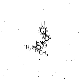 Cc1cc(NC(=O)c2cccc(N3CCCNCC3)n2)cc(C)n1